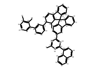 Cc1nc(-c2ccc3c(c2)-c2ccccc2C32C3=C(C=CC(c4cccc(-c5cncc(C)c5C)c4)C3C)c3ccccc32)nc(-c2cccc3ccccc23)n1